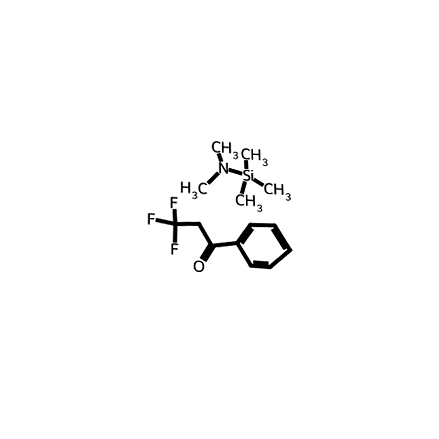 CN(C)[Si](C)(C)C.O=C(CC(F)(F)F)c1ccccc1